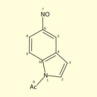 CC(=O)n1ccc2cc(N=O)ccc21